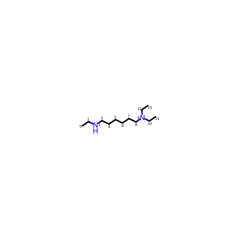 CCNCCCCCCN(CC)CC